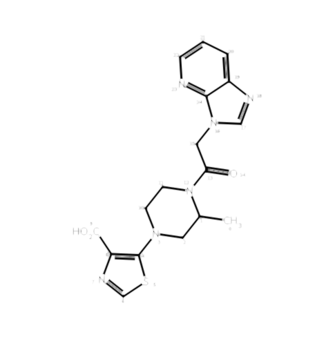 CC1CN(c2scnc2C(=O)O)CCN1C(=O)Cn1cnc2cccnc21